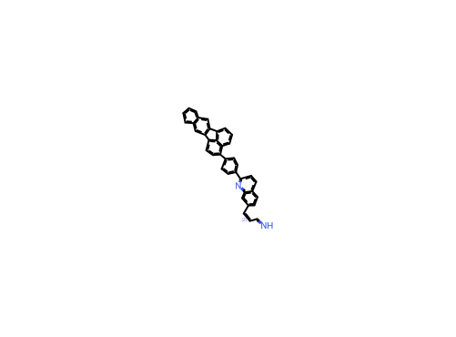 N=C/C=C\c1ccc2ccc(-c3ccc(-c4ccc5c6c(cccc46)-c4cc6ccccc6cc4-5)cc3)nc2c1